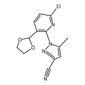 Cc1cc(C#N)nn1-c1nc(Cl)ccc1C1OCCO1